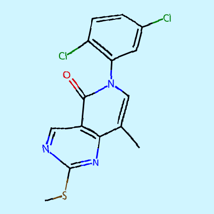 CSc1ncc2c(=O)n(-c3cc(Cl)ccc3Cl)cc(C)c2n1